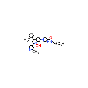 Cc1cc(C(CC(c2ccc(N3CCC(C(=O)NCCS(=O)(=O)O)CC3)cc2)c2ccccc2C)=NO)ccn1